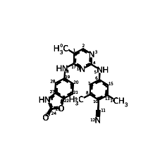 Cc1cnc(Nc2cc(C)c(C#N)c(C)c2)nc1Nc1ccc2oc(=O)[nH]c2c1